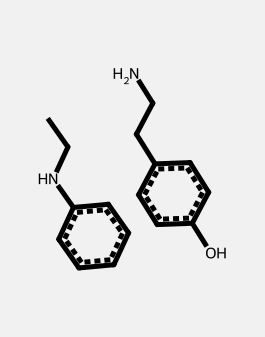 CCNc1ccccc1.NCCc1ccc(O)cc1